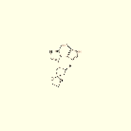 CCC1CC2(CC1c1nnc3cnc4[nH]ccc4n13)OCCO2